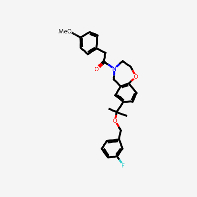 COc1ccc(CC(=O)N2CCOc3ccc(C(C)(C)OCc4cccc(F)c4)cc3C2)cc1